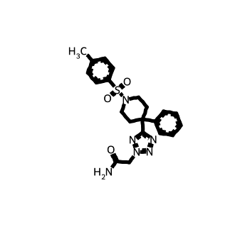 Cc1ccc(S(=O)(=O)N2CCC(c3ccccc3)(c3nnn(CC(N)=O)n3)CC2)cc1